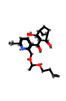 COCCOC(C)OCc1nc(C(F)(F)F)ccc1C(=O)C1=C(O)C2CCC(C2)C1=O